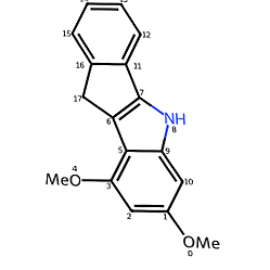 COc1cc(OC)c2c3c([nH]c2c1)-c1ccccc1C3